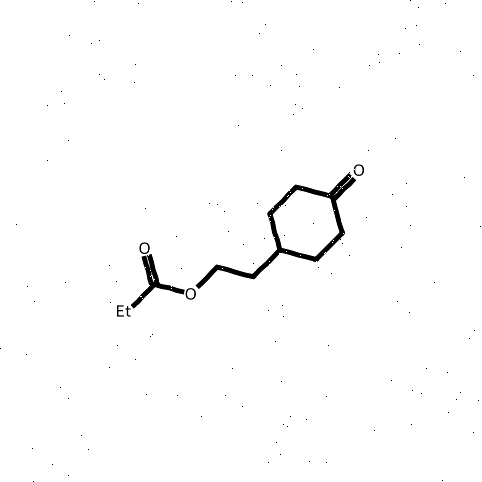 CCC(=O)OCCC1CCC(=O)CC1